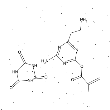 C=C(C)C(=O)Oc1nc(N)nc(CCN)n1.O=c1[nH]c(=O)[nH]c(=O)[nH]1